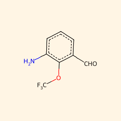 Nc1cccc(C=O)c1OC(F)(F)F